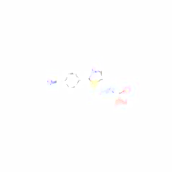 N#Cc1ccc(-c2ncc(CNC(=O)O)s2)cc1